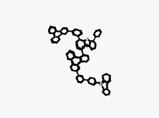 c1ccc(-c2cccc3c2sc2c(-c4cccc(-c5ccc6c7ccccc7c7ccccc7c6c5)c4)ccc(-c4cccc5c6cc(-c7cccc(-c8ccc(-n9c%10ccccc%10c%10ccccc%109)cc8)c7)ccc6c6ccccc6c45)c23)cc1